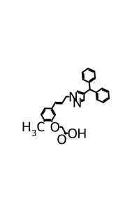 Cc1ccc(C=CCn2cc(C(c3ccccc3)c3ccccc3)cn2)cc1OCC(=O)O